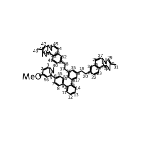 COc1ccnc(-c2ccc(-c3ccccc3-c3cc(CCc4ccc5c(ccn6cc(C)nc56)c4)cc(CCc4ccc5c(ccn6cc(C)nc56)c4)c3)cc2)c1